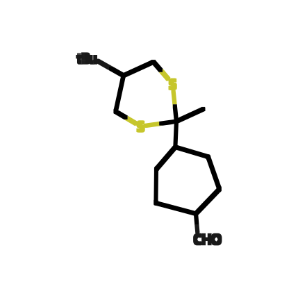 CC(C)(C)C1CSC(C)(C2CCC(C=O)CC2)SC1